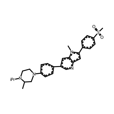 CC(C)N1CCN(c2ccc(-c3cnc4cc(-c5ccc(S(C)(=O)=O)cc5)n(C)c4c3)cc2)CC1C